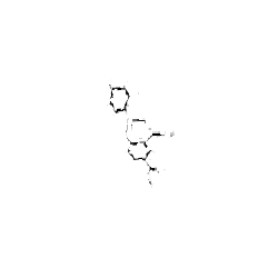 COC(=O)c1ccc2c(c1)C(=O)CN(c1ccc(F)cc1)C2